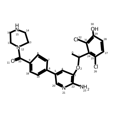 CC(Oc1cc(-c2ccc(C(=O)N3CCNCC3)cc2)cnc1N)c1c(Cl)ccc(O)c1Cl